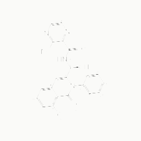 Cc1nccnc1C(=O)N[C@@H](C)c1cc2cccc(Cl)c2c(=O)n1-c1ccccc1